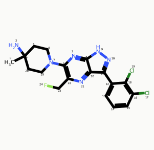 CC1(N)CCN(c2nc3[nH]nc(-c4cccc(Cl)c4Cl)c3nc2CF)CC1